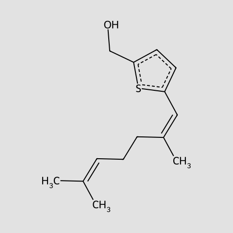 CC(C)=CCCC(C)=Cc1ccc(CO)s1